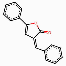 O=C1OC(c2ccccc2)=C/C1=C/c1ccccc1